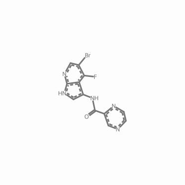 O=C(Nc1c[nH]c2ncc(Br)c(F)c12)c1cnccn1